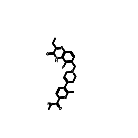 CCc1nc2ccc(CN3CC=C(c4ccc(C(=O)NC)nc4C)CC3)c(F)c2[nH]c1=O